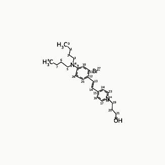 CCCCN(CCCC)c1ccc(/C=C/c2cc[n+](CCCO)cc2)cc1.[Br-]